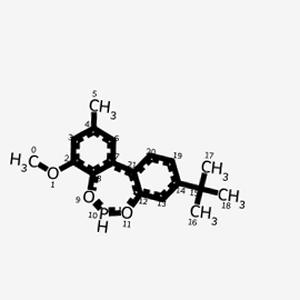 COc1cc(C)cc2c1o[pH]oc1cc(C(C)(C)C)ccc12